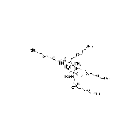 CC(C)(C)CCCOCCN(C(C)(C)NCCOCCOCCC(C)(C)C)C(C)(C)N(CCCOCCOCC(C)(C)C)C(C)(C)N(CCS(=O)(=O)CCCOCC(C)(C)C)C(C)(C)C